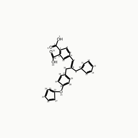 O=C(O)c1ccc(C=C(Cc2ccccc2)Cc2ccc(Oc3ccccc3)cc2)cc1C(=O)O